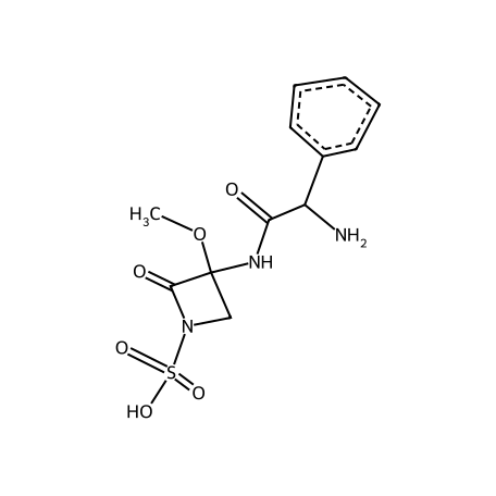 COC1(NC(=O)C(N)c2ccccc2)CN(S(=O)(=O)O)C1=O